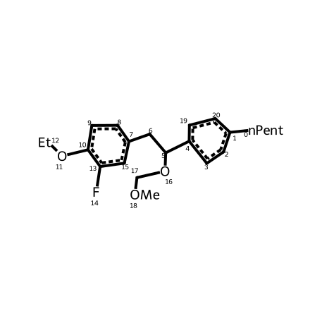 CCCCCc1ccc(C(Cc2ccc(OCC)c(F)c2)OCOC)cc1